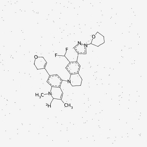 [2H]C1C(C)=Cc2c(N3CCCc4cc(-c5cnn(C6CCCCO6)c5)c(C(F)F)cc43)cc(C3=CCOCC3)cc2N1C